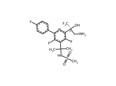 CC(C)(NS(C)(=O)=O)c1c(F)c(-c2ccc(F)cc2)nc([C@@](O)(CN)C(F)(F)F)c1F